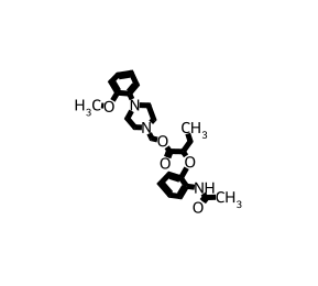 CCC(Oc1ccccc1NC(C)=O)C(=O)OCN1CCN(c2ccccc2OC)CC1